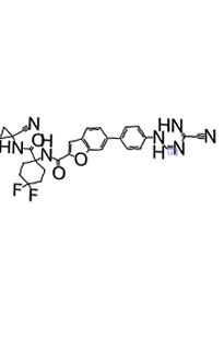 N#CC(=N)/N=C\Nc1ccc(-c2ccc3cc(C(=O)NC4(C(=O)NC5(C#N)CC5)CCC(F)(F)CC4)oc3c2)cc1